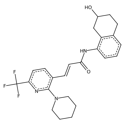 O=C(C=Cc1ccc(C(F)(F)F)nc1N1CCCCC1)Nc1cccc2c1CC(O)CC2